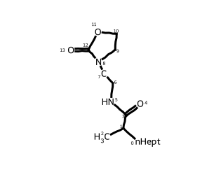 CCCCCCCC(C)C(=O)NCCN1CCOC1=O